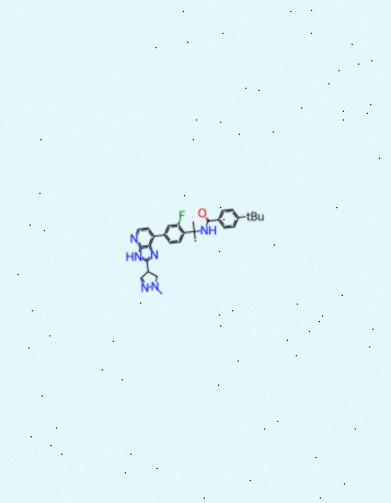 CN1CC(c2nc3c(-c4ccc(C(C)(C)NC(=O)c5ccc(C(C)(C)C)cc5)c(F)c4)ccnc3[nH]2)C=N1